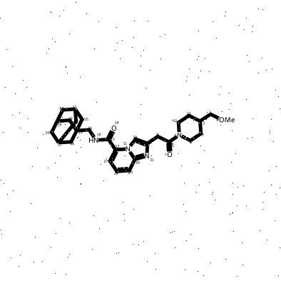 COCC1CCN(C(=O)Cc2cn3c(C(=O)NCC45CC6CC(CC(C6)C4)C5)cccc3n2)CC1